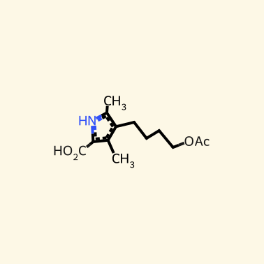 CC(=O)OCCCCc1c(C)[nH]c(C(=O)O)c1C